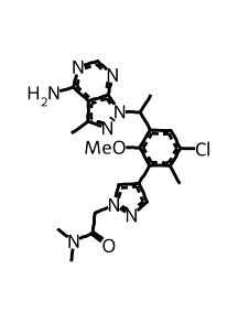 COc1c(C(C)n2nc(C)c3c(N)ncnc32)cc(Cl)c(C)c1-c1cnn(CC(=O)N(C)C)c1